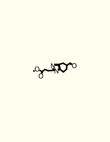 COC(=O)CCc1ncc2c(n1)CCC(C=O)C2